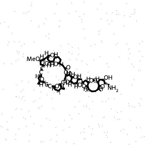 C=C1C[C@@H]2CC[C@]34C[C@@H](OC)[C@H](O3)[C@H]3C[C@@H](O4)[C@H]4O[C@H](CC[C@@H]4O3)CC(=O)O[C@@H]3[C@@H](C)[C@@H]4O[C@@H]5C[C@]6(C[C@@H]7OO[C@H]8C[C@@H](O)[C@@H](CN)O[C@H]8[C@@H](C)CC[C@H](C)[C@@H]7O6)O[C@@H]5C[C@@H]4O[C@H]3C[C@H]3O[C@@H](CC[C@@H]1O2)C[C@@H](C)C3=C